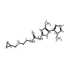 Cc1nc(NC(=O)NCCOCC2CC2)sc1-c1cncn1C